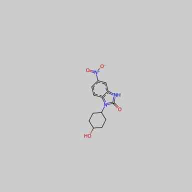 O=c1[nH]c2cc([N+](=O)[O-])ccc2n1C1CCC(O)CC1